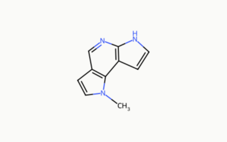 Cn1ccc2cnc3[nH]ccc3c21